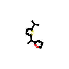 CC(C)c1ccc(C(C)c2ccco2)s1